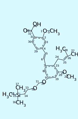 COc1cc(C=Cc2cc(OCOCC[Si](C)(C)C)cc(OC)c2CC=C(C)C)ccc1C(=O)O